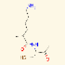 CC(=O)C(CS)NC(=O)C(C)CCCCN